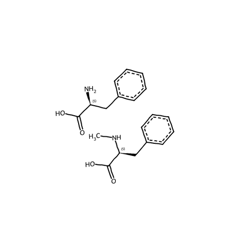 CN[C@@H](Cc1ccccc1)C(=O)O.N[C@@H](Cc1ccccc1)C(=O)O